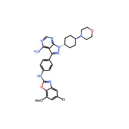 CCc1cc(OC)c2oc(Nc3ccc(-c4nn([C@H]5CC[C@H](N6CCOCC6)CC5)c5ncnc(N)c45)cc3)nc2c1